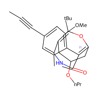 CC#Cc1cc(C)c(/C2=C3/CC(OCCC)CC(=C(C(C)(C)C)O3)CNC2=O)c(OC)c1